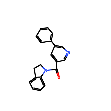 O=C(c1cncc(-c2ccccc2)c1)N1CCc2ccccc21